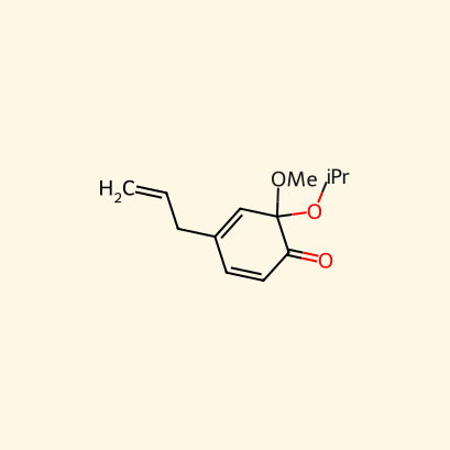 C=CCC1=CC(OC)(OC(C)C)C(=O)C=C1